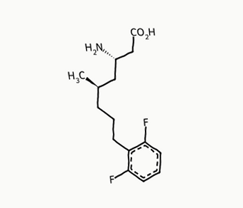 C[C@H](CCCc1c(F)cccc1F)C[C@H](N)CC(=O)O